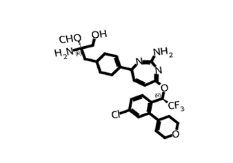 NC1=NC(C2=CCC(C[C@](N)(C=O)CO)CC2)C=CC(O[C@H](c2ccc(Cl)cc2C2=CCOCC2)C(F)(F)F)=N1